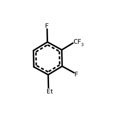 CCc1ccc(F)c(C(F)(F)F)c1F